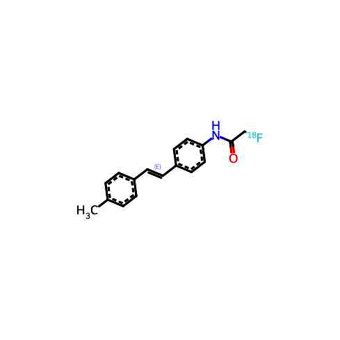 Cc1ccc(/C=C/c2ccc(NC(=O)C[18F])cc2)cc1